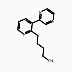 CCCCCc1ncccc1-c1cnccn1